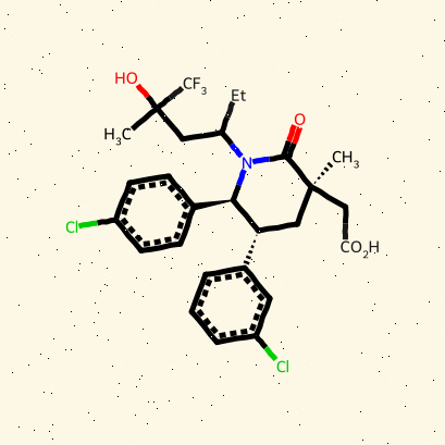 CCC(CC(C)(O)C(F)(F)F)N1C(=O)[C@@](C)(CC(=O)O)C[C@H](c2cccc(Cl)c2)[C@H]1c1ccc(Cl)cc1